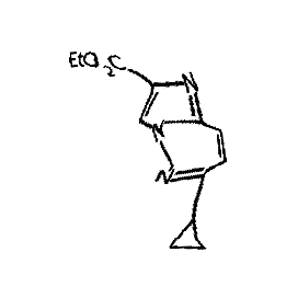 CCOC(=O)c1cn2nc(C3CC3)ccc2n1